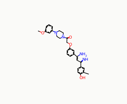 COc1cccc(N2CCN(C(=O)COc3cccc(/C(N)=C/C(=N)c4ccc(O)c(C)c4)c3)CC2)c1